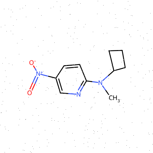 CN(c1ccc([N+](=O)[O-])cn1)C1CCC1